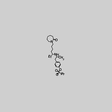 CCC(CCCCN1CCCCCC1=O)NC(C)Cc1ccc(OS(=O)(=O)C(C)C)cc1